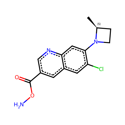 C[C@H]1CCN1c1cc2ncc(C(=O)ON)cc2cc1Cl